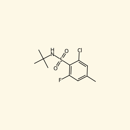 Cc1cc(F)c(S(=O)(=O)NC(C)(C)C)c(Cl)c1